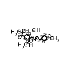 CCN1C=C(C(=O)N(C)C)C=CC1(O)C=NOCc1ccc(OC)cc1.Cl